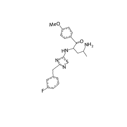 COc1ccc(C(=O)C(CC(C)N)Nc2nc(Cc3cccc(F)c3)ns2)cc1